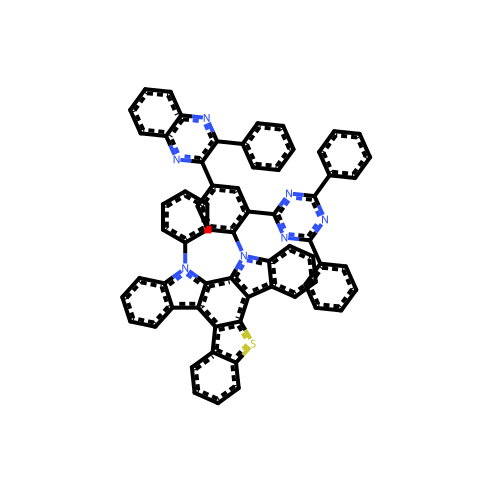 c1ccc(-c2nc(-c3ccccc3)nc(-c3cc(-c4nc5ccccc5nc4-c4ccccc4)ccc3-n3c4ccccc4c4c5sc6ccccc6c5c5c6ccccc6n(-c6ccccc6)c5c43)n2)cc1